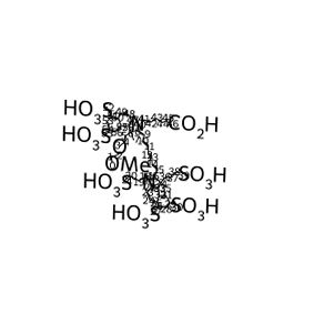 COCCOCCC1(C)C(=CC=CC=CC=CC2N(CCCS(=O)(=O)O)c3ccc4c(S(=O)(=O)O)cc(S(=O)(=O)O)cc4c3C2(C)CCCS(=O)(=O)O)N(CCCCCC(=O)O)c2ccc3c(S(=O)(=O)O)cc(S(=O)(=O)O)cc3c21